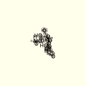 CCNC(=O)CCC/C=C\C[C@@H]1[C@@H](/C=C/[C@H](CCc2ccccc2)OC(=O)[C@H](C)OC(=O)OCC(=O)[C@@]2(O)CC[C@H]3[C@@H]4CCC5=CC(=O)CC[C@]5(C)C4=CC[C@@]32C)[C@H](O)C[C@@H]1O